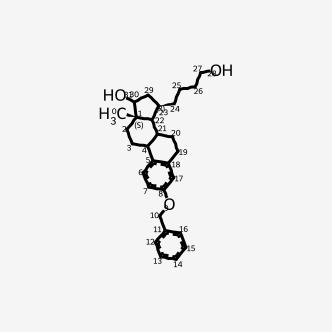 C[C@]12CCC3c4ccc(OCc5ccccc5)cc4CCC3C1[C@H](CCCCO)CC2O